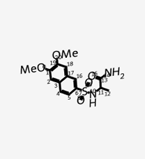 COc1cc2ccc(S(=O)(=O)NC(C)C(N)=O)cc2cc1OC